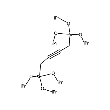 CC(C)O[Si](CC#CC[Si](OC(C)C)(OC(C)C)OC(C)C)(OC(C)C)OC(C)C